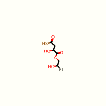 CCC(O)COC(=O)C(O)CC(=O)S